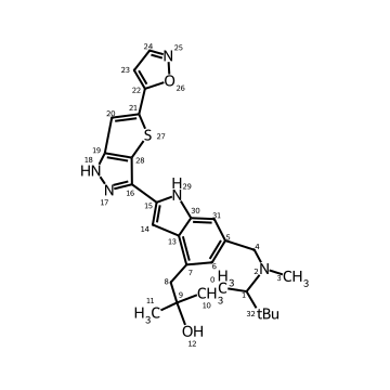 CC(N(C)Cc1cc(CC(C)(C)O)c2cc(-c3n[nH]c4cc(-c5ccno5)sc34)[nH]c2c1)C(C)(C)C